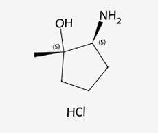 C[C@]1(O)CCC[C@@H]1N.Cl